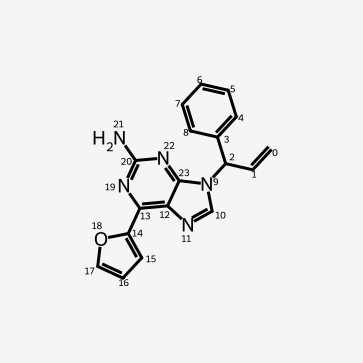 C=CC(c1ccccc1)n1cnc2c(-c3ccco3)nc(N)nc21